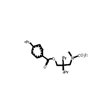 CCCc1ccc(C(=O)OCC(CN(C)C(=O)OCC)(C(C)C)C(C)C)cc1